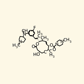 C/C(=C\c1cc(F)cc(N(C)C2CCN(C)CC2)c1)[C@H]1OC(=O)C[C@H](O)CC[C@H](C)[C@@H](OC(=O)N2CCN(C)CC2)/C=C/[C@@H]1C